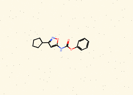 O=C(Nc1cc(C2CCCC2)no1)Oc1ccccc1